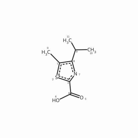 Cc1sc(C(=O)O)nc1C(C)C